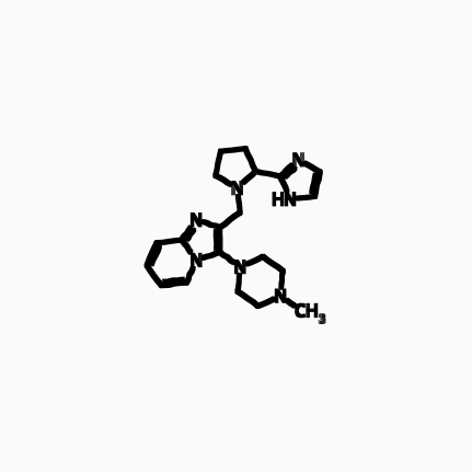 CN1CCN(c2c(CN3CCCC3c3ncc[nH]3)nc3ccccn23)CC1